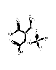 CCN(CC(=O)O)C(=N)N.O=P(O)(O)O